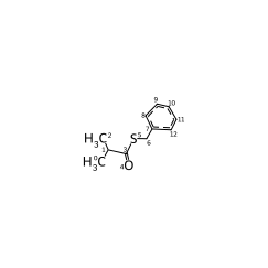 CC(C)C(=O)SCc1ccccc1